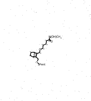 CCCC(C)SCC1C2CCC(O2)C1COCCCCC(=O)N(C)O